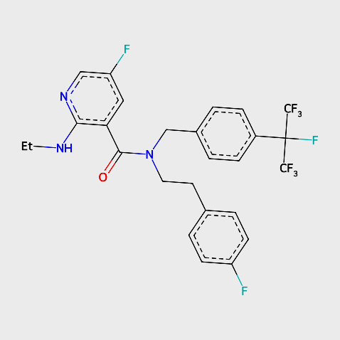 CCNc1ncc(F)cc1C(=O)N(CCc1ccc(F)cc1)Cc1ccc(C(F)(C(F)(F)F)C(F)(F)F)cc1